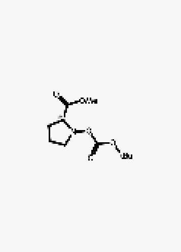 COC(=O)[C@@H]1CCCN1OC(=O)OC(C)(C)C